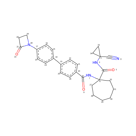 N#CC1(NC(=O)C2(NC(=O)c3ccc(-c4ccc(N5CCC5=O)cc4)cc3)CCCCCC2)CC1